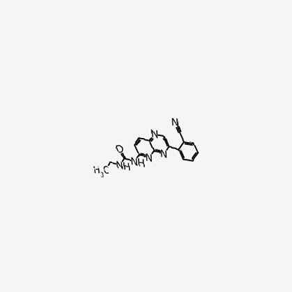 CCNC(=O)Nc1ccc2ncc(-c3ccccc3C#N)nc2n1